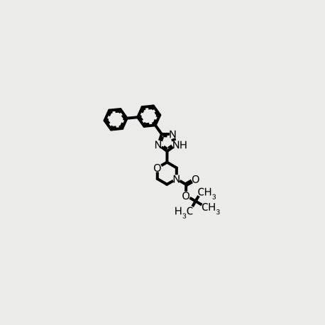 CC(C)(C)OC(=O)N1CCOC(c2nc(-c3cccc(-c4ccccc4)c3)n[nH]2)C1